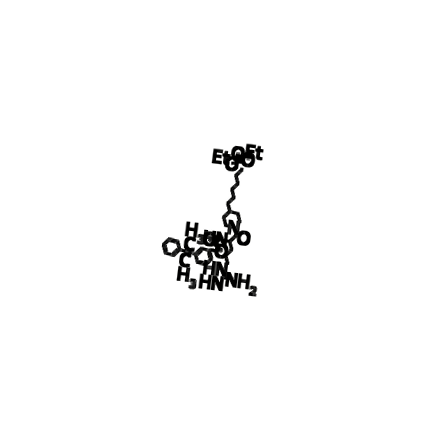 CCOP(=O)(CCCCCCC1CCN(C(=O)C(CCCNC(=N)N)NS(=O)(=O)c2cccc(C(C)(C)c3ccccc3)c2)CC1)OCC